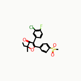 CCC1(C)OC(c2ccc(S(C)(=O)=O)cc2)=C(c2ccc(F)c(Cl)c2)C1=O